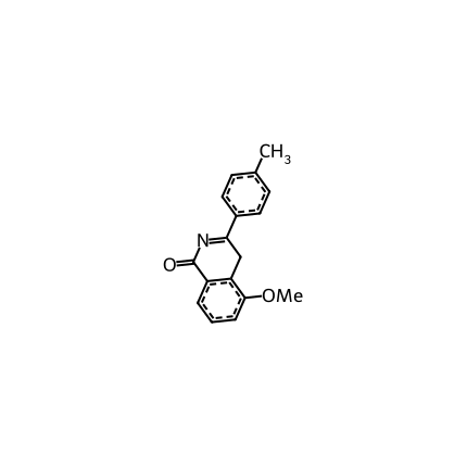 COc1cccc2c1CC(c1ccc(C)cc1)=NC2=O